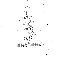 CCCCCCC(CCCCCC)C(=O)OCC(C)OC(=O)C1CCN(C)CC1